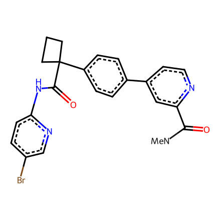 CNC(=O)c1cc(-c2ccc(C3(C(=O)Nc4ccc(Br)cn4)CCC3)cc2)ccn1